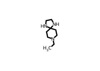 CCN1CCC2(CC1)NCCN2